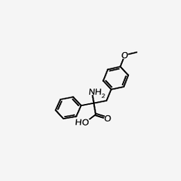 COc1ccc(CC(N)(C(=O)O)c2ccccc2)cc1